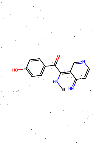 CCN/C(C(=O)c1ccc(O)cc1)=C1/C=NC=CC1=N